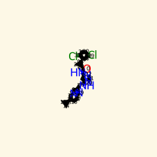 O=C(Nc1cc(NCc2cn3cc(C4CC4)ccc3n2)ncn1)[C@H]1C[C@@H]1c1cc(Cl)ccc1Cl